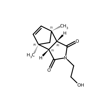 C[C@]12C=C[C@](C)(C1)[C@@H]1C(=O)N(CCO)C(=O)[C@@H]12